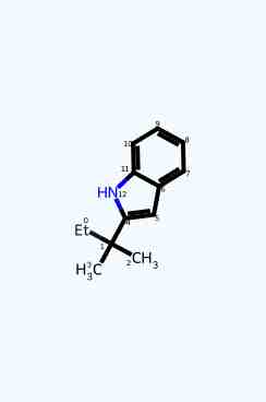 CCC(C)(C)c1cc2ccccc2[nH]1